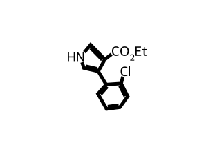 CCOC(=O)c1c[nH]cc1-c1ccccc1Cl